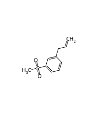 C=CCc1cccc(S(C)(=O)=O)c1